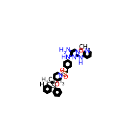 COc1ncccc1Nc1ncc(N)c(N[C@H]2CC[C@H](CS(=O)(=O)N3CCCC(O[Si](c4ccccc4)(c4ccccc4)C(C)(C)C)C3)CC2)n1